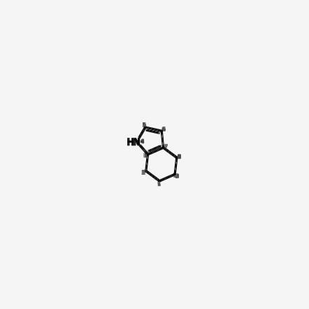 [CH]1CCc2[nH]ccc2C1